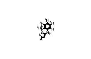 [2H]Nc1c([2H])c([2H])c([2H])c([2H])c1N([2H])c1cc(C)ns1